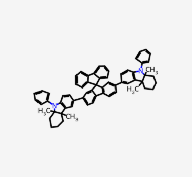 CC12CCCCC1(C)N(c1ccccc1)c1ccc(-c3ccc4c(c3)C3(c5ccccc5-c5ccccc53)c3cc(-c5ccc6c(c5)C5(C)CCCCC5(C)N6c5ccccc5)ccc3-4)cc12